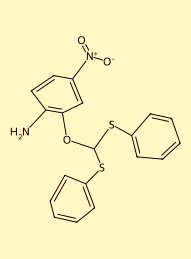 Nc1ccc([N+](=O)[O-])cc1OC(Sc1ccccc1)Sc1ccccc1